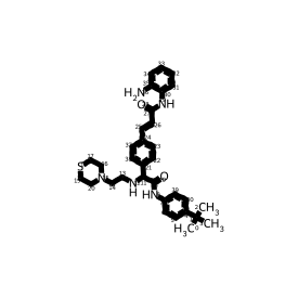 CC(C)(C)c1ccc(NC(=O)C(NCCN2CCSCC2)c2ccc(C=CC(=O)Nc3ccccc3N)cc2)cc1